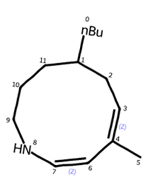 CCCCC1C/C=C(C)\C=C/NCCC1